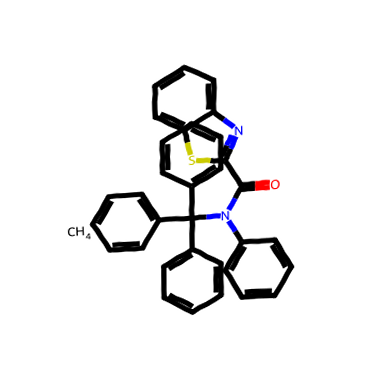 C.O=C(c1nc2ccccc2s1)N(c1ccccc1)C(c1ccccc1)(c1ccccc1)c1ccccc1